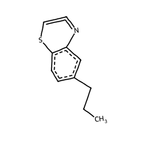 CCCc1ccc2c(c1)N=C=CS2